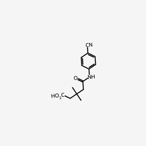 CC(C)(CC(=O)O)CC(=O)Nc1ccc(C#N)cc1